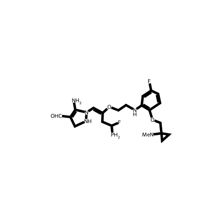 CNC1(COc2ccc(F)cc2NCCO/C(=C/N2NCC(C=O)=C2N)CC(F)P)CC1